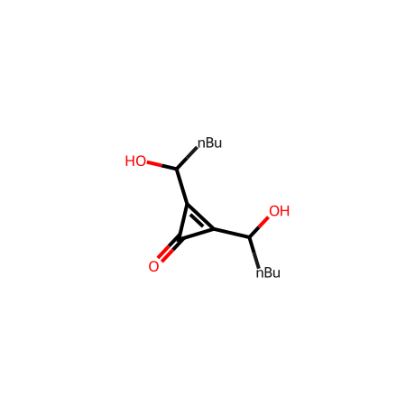 CCCCC(O)c1c(C(O)CCCC)c1=O